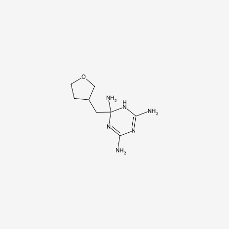 NC1=NC(N)(CC2CCOC2)NC(N)=N1